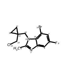 Cc1nc2cc(F)cc(Br)c2n1CC1(CCl)CC1